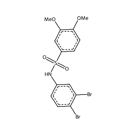 COc1ccc(S(=O)(=O)Nc2ccc(Br)c(Br)c2)cc1OC